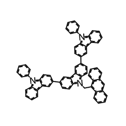 c1ccc(-n2c3ccccc3c3cc(-c4ccc5c(c4)c4cc(-c6ccc7c(c6)c6ccccc6n7-c6ccccc6)ccc4n5Cc4c5ccccc5cc5ccccc45)ccc32)cc1